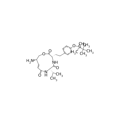 CC(C)[C@@H]1NC(=O)/C=C/[C@@H](N)COC(=O)[C@H](CCc2ccc(O[Si](C)(C)C(C)(C)C)cc2)NC1=O